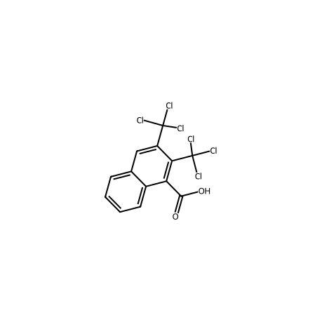 O=C(O)c1c(C(Cl)(Cl)Cl)c(C(Cl)(Cl)Cl)cc2ccccc12